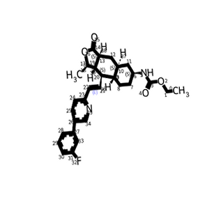 CCOC(=O)N[C@H]1CC[C@H]2[C@H](C1)C[C@@H]1C(=O)O[C@H](C)[C@H]1[C@@H]2/C=C/c1ccc(-c2cccc(F)c2)cn1